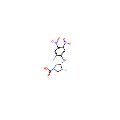 O=C(O)N1C[C@@H](F)[C@@H](Nc2cc([N+](=O)[O-])c([N+](=O)[O-])cc2F)C1